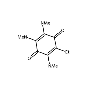 C[CH]C1=C(NC)C(=O)C(NC)=C(NC)C1=O